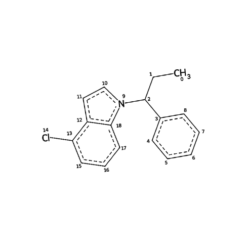 CCC(c1ccccc1)n1ccc2c(Cl)cccc21